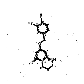 O=c1nc(OCc2ccc(F)c(F)c2)cc2n1CCCN2